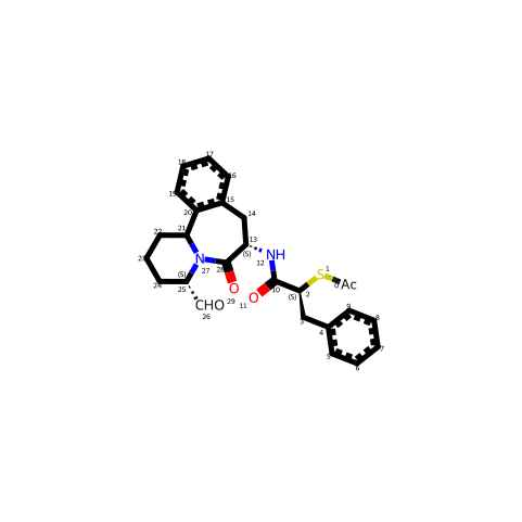 CC(=O)S[C@@H](Cc1ccccc1)C(=O)N[C@H]1Cc2ccccc2C2CCC[C@@H](C=O)N2C1=O